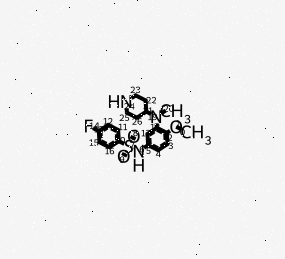 COc1ccc(NS(=O)(=O)c2ccc(F)cc2)cc1N(C)C1CCNCC1